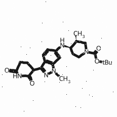 C[C@@H]1CN(C(=O)OC(C)(C)C)CC[C@H]1Nc1ccc2c(C3CCC(=O)NC3=O)nn(C)c2c1